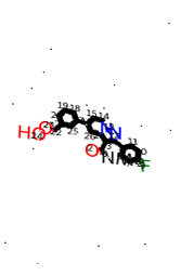 CNC(=O)c1c(-c2ccc(F)cc2)nn2ccc(-c3cccc(COO)c3)cc12